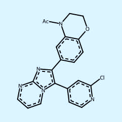 CC(=O)N1CCOc2ccc(-c3nc4ncccn4c3-c3ccnc(Cl)c3)cc21